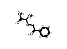 O=C(CSC(O)C(=O)O)c1ccccc1